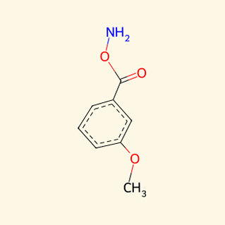 COc1cccc(C(=O)ON)c1